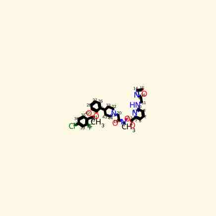 CN(OC(=O)c1cccc(NCc2ncco2)n1)C(=O)CN1CCC(c2cccc3c2OC(C)(c2ccc(Cl)cc2F)O3)CC1